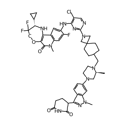 C[C@H]1CN(c2ccc3c(C4CCC(=O)NC4=O)nn(C)c3c2)CCN1CC1CCC2(CC1)CN(c1ncc(Cl)c(Nc3cc4c5c(c(=O)n(C)c4cc3F)OCC(F)(F)[C@H](C3CC3)N5)n1)C2